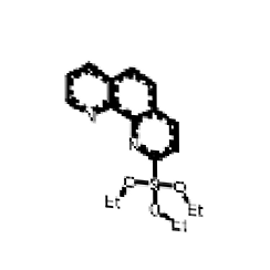 CCO[Si](OCC)(OCC)c1ccc2ccc3cccnc3c2n1